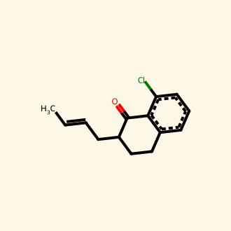 CC=CCC1CCc2cccc(Cl)c2C1=O